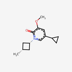 COc1cc(C2CC2)cn([C@H]2C[C@@H](C)C2)c1=O